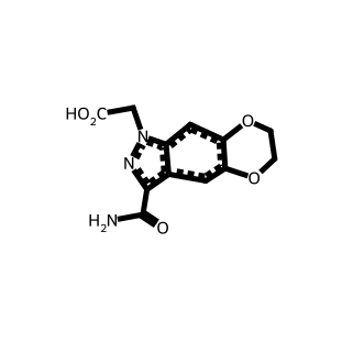 NC(=O)c1nn(CC(=O)O)c2cc3c(cc12)OCCO3